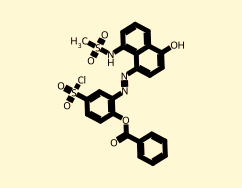 CS(=O)(=O)Nc1cccc2c(O)ccc(N=Nc3cc(S(=O)(=O)Cl)ccc3OC(=O)c3ccccc3)c12